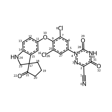 N#Cc1nn(-c2cc(Cl)c(Oc3ccc4c(c3)C3(CCCC3=O)CN4)c(Cl)c2)c(=O)[nH]c1=O